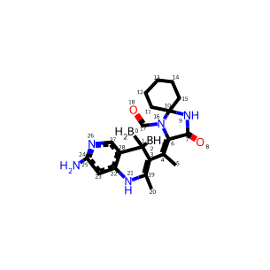 BC1(B)C(/C(C)=C2/C(=O)NC3(CCCCC3)N2C=O)=C(C)Nc2cc(N)ncc21